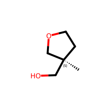 C[C@@]1(CO)CCOC1